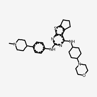 CN1CCC(c2ccc(Nc3nc(NC4CCC(N5CCOCC5)CC4)c4c5c(sc4n3)CCC5)cc2)CC1